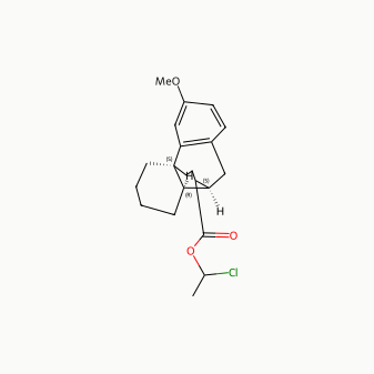 COc1ccc2c(c1)[C@]13CCCC[C@@H]1[C@H](C2)C(C(=O)OC(C)Cl)CC3